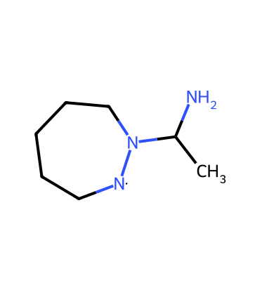 CC(N)N1CCCCC[N]1